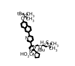 CC(C)(C)[C@]1(c2ncc(-c3ccc(-c4ccc5cc(O[Si](C)(C)C(C)(C)C)ccc5c4)nc3)n2COCC[Si](C)(C)C)CCCN1C(=O)O